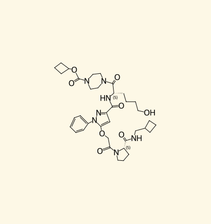 O=C(N[C@@H](CCCCO)C(=O)N1CCN(C(=O)OC2CCC2)CC1)c1cc(OCC(=O)N2CCC[C@H]2C(=O)NCC2CCC2)n(-c2ccccc2)n1